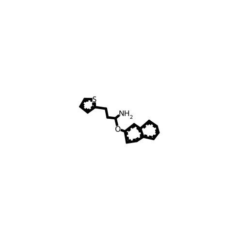 NC(CCc1cccs1)Oc1ccc2ccccc2c1